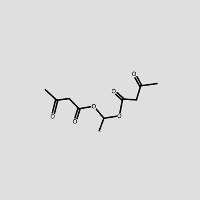 [CH2]C(OC(=O)CC(C)=O)OC(=O)CC(C)=O